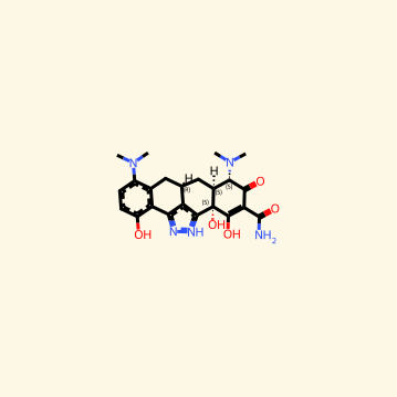 CN(C)c1ccc(O)c2c1C[C@H]1C[C@H]3[C@H](N(C)C)C(=O)C(C(N)=O)=C(O)[C@@]3(O)c3[nH]nc-2c31